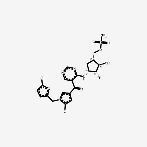 NS(=O)(=O)OC[C@H]1C[C@@H](Nc2ncncc2C(=O)c2cc(Cl)n(Cc3ccc(Cl)o3)c2)[C@@H](F)[C@@H]1O